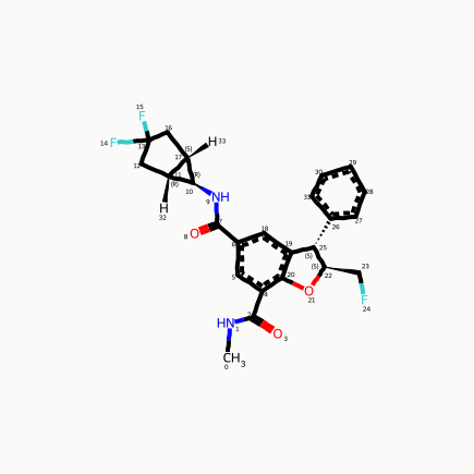 CNC(=O)c1cc(C(=O)N[C@H]2[C@@H]3CC(F)(F)C[C@@H]32)cc2c1O[C@H](CF)[C@H]2c1ccccc1